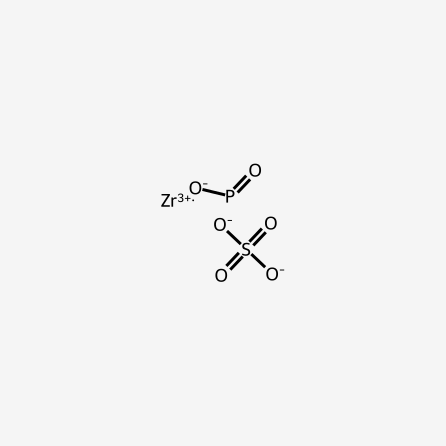 O=P[O-].O=S(=O)([O-])[O-].[Zr+3]